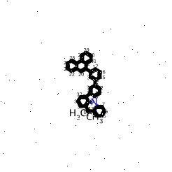 CC1(C)c2ccccc2-n2c3ccc(-c4cccc(-c5cc6ccccc6c6ccccc56)c4)cc3c3cccc1c32